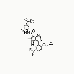 CCC(=O)N1CC(NC(=O)c2c(C)[nH]c3c(-c4cc(C(F)F)ccc4OCC4CC4)ncnc23)C2(CC2)C1